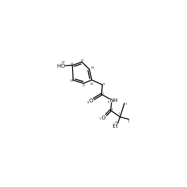 CCC(C)(C)C(=O)NC(=O)Cc1ccc(O)cc1